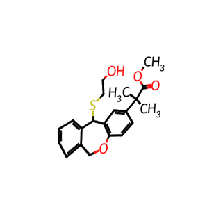 COC(=O)C(C)(C)c1ccc2c(c1)C(SCCO)c1ccccc1CO2